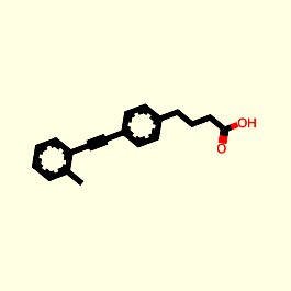 Cc1ccccc1C#Cc1ccc(CCCC(=O)O)cc1